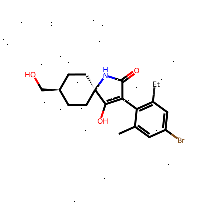 CCc1cc(Br)cc(C)c1C1=C(O)[C@]2(CC[C@H](CO)CC2)NC1=O